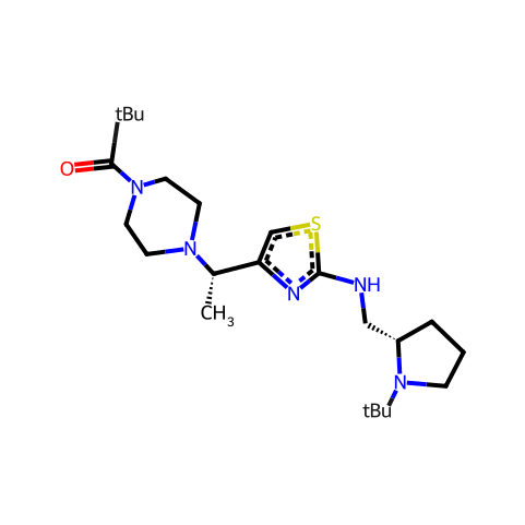 C[C@@H](c1csc(NC[C@@H]2CCCN2C(C)(C)C)n1)N1CCN(C(=O)C(C)(C)C)CC1